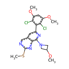 COc1cc(OC)c(Cl)c(-c2cc3cnc(SC)nc3c(N3CC(OC)C3)n2)c1Cl